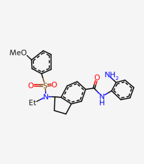 CCN(C1CCc2cc(C(=O)Nc3ccccc3N)ccc21)S(=O)(=O)c1cccc(OC)c1